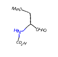 COCC(C=O)NC(=O)O